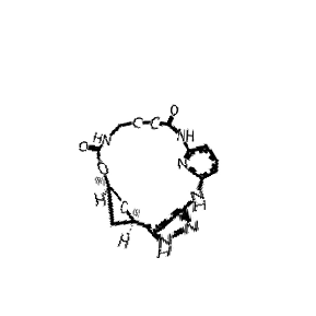 O=C1CCCNC(=O)O[C@@H]2CC[C@@H](C2)c2cc(n[nH]2)Nc2cccc(n2)N1